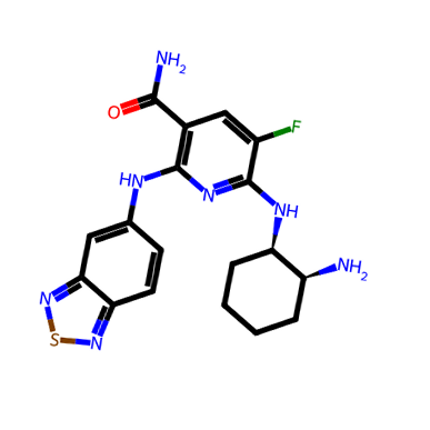 NC(=O)c1cc(F)c(N[C@@H]2CCCC[C@@H]2N)nc1Nc1ccc2nsnc2c1